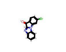 O=C1c2ccc(Br)cc2-n2c1nc1ccccc12